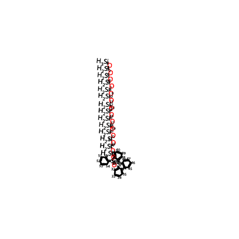 [SiH3]O[SiH2]O[SiH2]O[SiH2]O[SiH2]O[SiH2]O[SiH2]O[SiH2]O[SiH2]O[SiH2]O[SiH2]O[SiH2]O[SiH2]O[SiH2]O[SiH](O[Si](c1ccccc1)(c1ccccc1)c1ccccc1)c1ccccc1